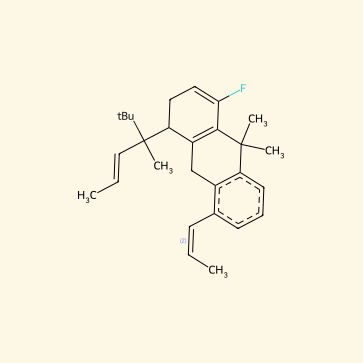 CC=CC(C)(C1CC=C(F)C2=C1Cc1c(/C=C\C)cccc1C2(C)C)C(C)(C)C